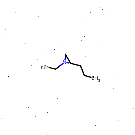 BCCC1CN1CCCC